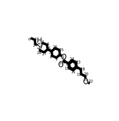 CCC[SiH]1CCC(C2CCC(OC(=O)c3ccc(CCCOC)cc3)CC2)CC1